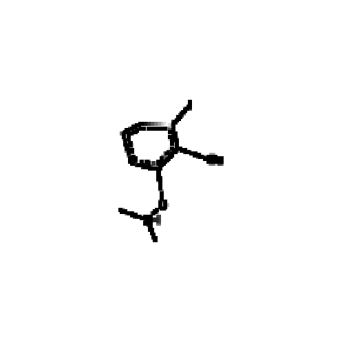 C[SiH](C)Oc1cccc(I)c1C(C)(C)C